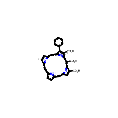 O=C(O)C1=Cc2cc3ccc(cc4nc(cc5c(-c6ccccc6)c(C(=O)O)c(c(C(=O)O)c1n2)n5C(=O)O)C=C4)[nH]3.[Cu]